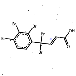 O=C(O)/C=C/C(Br)(Br)c1ccc(Br)c(Br)c1Br